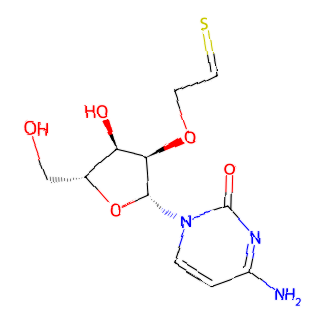 Nc1ccn([C@@H]2O[C@H](CO)[C@@H](O)[C@H]2OCC=S)c(=O)n1